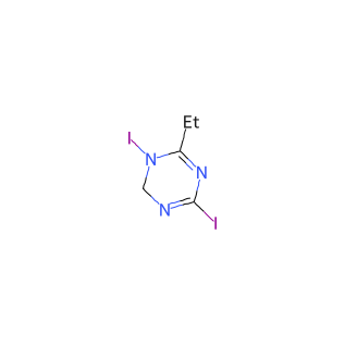 CCC1=NC(I)=NCN1I